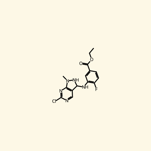 CCOC(=O)c1ccc(F)c(NC2NN(C)c3nc(Cl)ncc32)c1